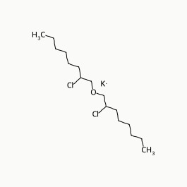 CCCCCCC(Cl)COCC(Cl)CCCCCC.[K]